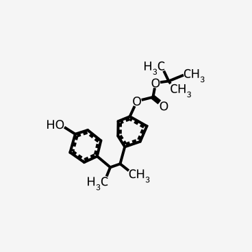 CC(c1ccc(O)cc1)C(C)c1ccc(OC(=O)OC(C)(C)C)cc1